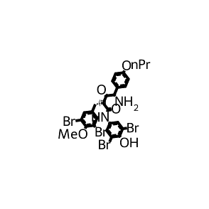 CCCOc1ccc(C(N)C(=O)[C@@H](Cc2cc(Br)c(OC)c(Br)c2)C(=O)Nc2cc(Br)c(O)c(Br)c2)cc1